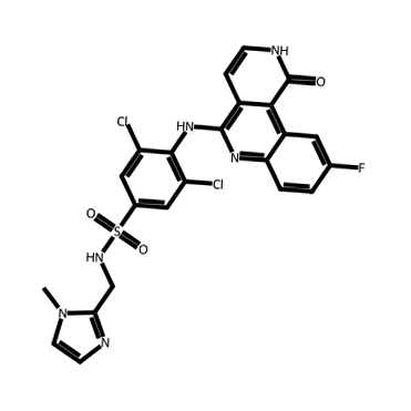 Cn1ccnc1CNS(=O)(=O)c1cc(Cl)c(Nc2nc3ccc(F)cc3c3c(=O)[nH]ccc23)c(Cl)c1